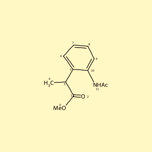 COC(=O)C(C)c1ccccc1NC(C)=O